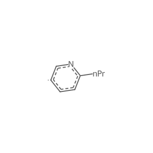 CCCc1cc[c]cn1